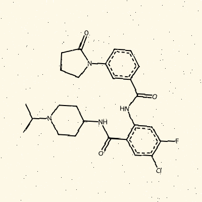 CC(C)N1CCC(NC(=O)c2cc(Cl)c(F)cc2NC(=O)c2cccc(N3CCCC3=O)c2)CC1